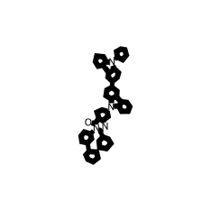 O=c1c2ccc(-n3c4ccccc4c4cc(-c5ccc6c(c5)c5ccccc5n6-c5ccccc5)ccc43)cc2nc(-c2ccccc2)n1-c1cccc(-c2ccccc2)c1